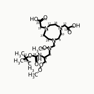 COOCC(CN(CN1CCN(CC(=O)O)CCN(CC(=O)O)CC1)OC)NC(=O)OC(C)(C)C